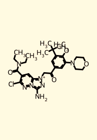 CCN(CC)C(=O)c1cc2n(nc1Cl)c(N)n[n+]2CC(=O)c1cc(N2CCOCC2)c(OC)c(C(C)(C)C)c1